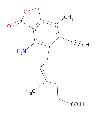 C#Cc1c(C)c2c(c(N)c1CC=C(C)CCC(=O)O)C(=O)OC2